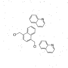 ClCc1ccc(CCl)c2ccccc12.c1ccc2ncccc2c1.c1ccc2ncccc2c1